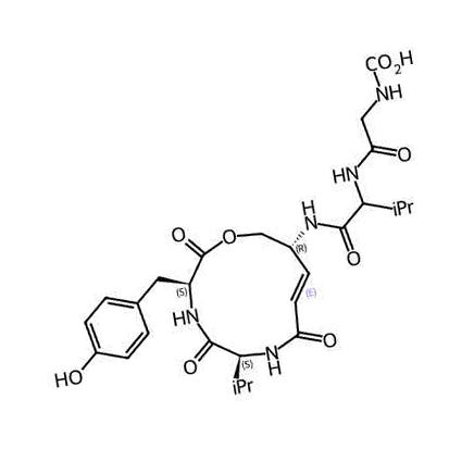 CC(C)C(NC(=O)CNC(=O)O)C(=O)N[C@@H]1/C=C/C(=O)N[C@@H](C(C)C)C(=O)N[C@@H](Cc2ccc(O)cc2)C(=O)OC1